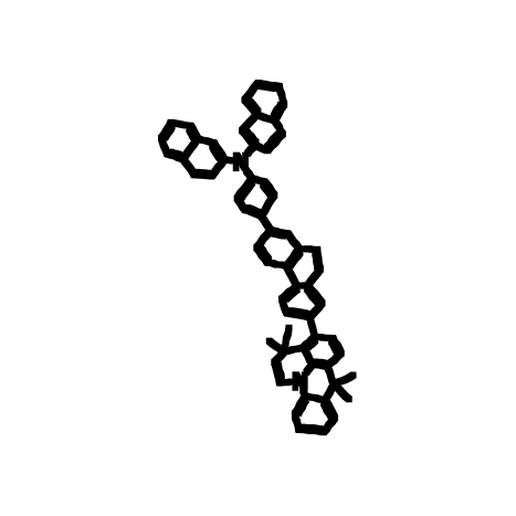 CC1(C)C=CN2c3ccccc3C(C)(C)c3ccc(-c4ccc5c(ccc6cc(-c7ccc(N(c8ccc9ccccc9c8)c8ccc9ccccc9c8)cc7)ccc65)c4)c1c32